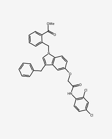 COC(=O)c1ccccc1Cn1cc(Cc2ccccc2)c2cc(OCC(=O)Nc3ccc(Cl)cc3Cl)ccc21